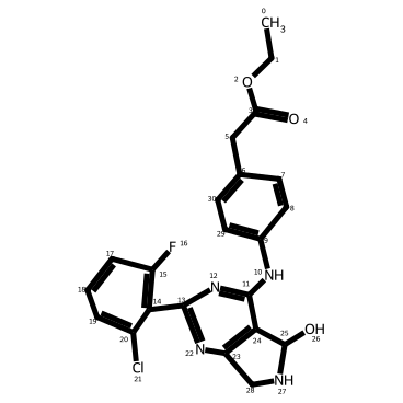 CCOC(=O)Cc1ccc(Nc2nc(-c3c(F)cccc3Cl)nc3c2C(O)NC3)cc1